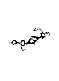 COc1ccc(-c2cn3cc(C4CCN(C5CCNCC5)[C@H](CC(C)C)C4)ccc3n2)cc1OC